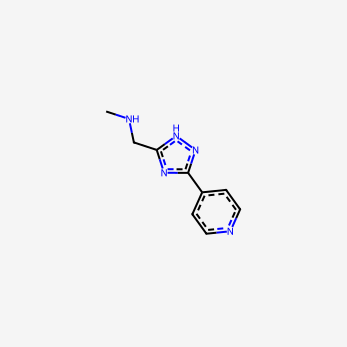 CNCc1nc(-c2ccncc2)n[nH]1